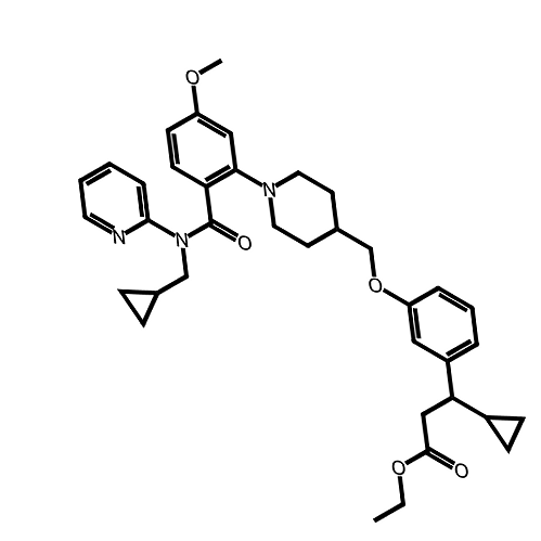 CCOC(=O)CC(c1cccc(OCC2CCN(c3cc(OC)ccc3C(=O)N(CC3CC3)c3ccccn3)CC2)c1)C1CC1